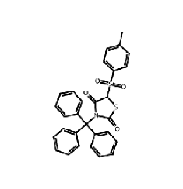 Cc1ccc(S(=O)(=O)C2SC(=O)N(C(c3ccccc3)(c3ccccc3)c3ccccc3)C2=O)cc1